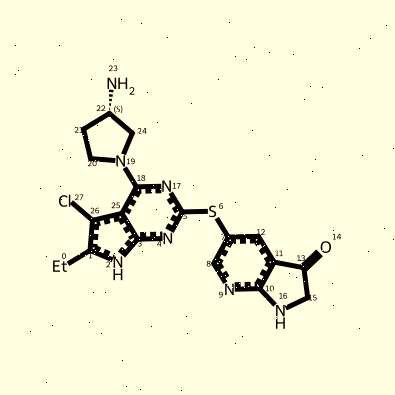 CCc1[nH]c2nc(Sc3cnc4c(c3)C(=O)CN4)nc(N3CC[C@H](N)C3)c2c1Cl